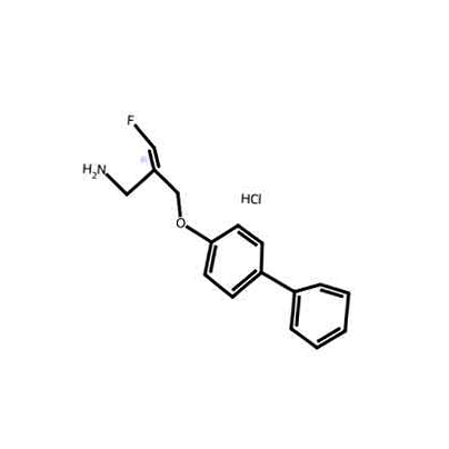 Cl.NC/C(=C\F)COc1ccc(-c2ccccc2)cc1